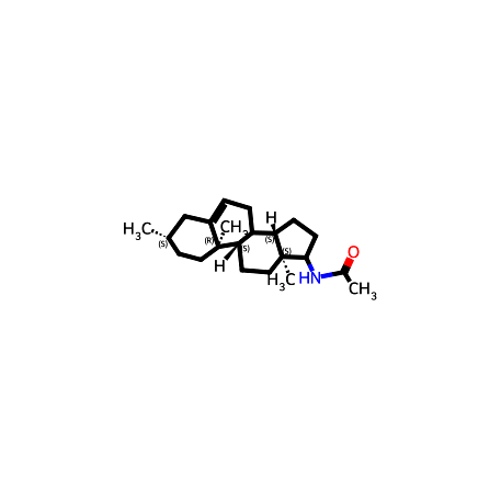 CC(=O)NC1CC[C@H]2C3CC=C4C[C@@H](C)CC[C@]4(C)[C@H]3CC[C@]12C